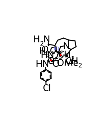 C=C1S/C(NC(=O)Nc2ccc(Cl)cc2)=C(/C(N)=O)CCC2CCC1N2CC(C)(C)C(=O)OC